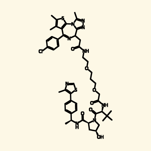 Cc1ncsc1-c1ccc([C@H](C)NC(=O)[C@@H]2C[C@H](O)CN2C(=O)[C@@H](NC(=O)COCCCOCCNC(=O)CC2N=C(c3ccc(Cl)cc3)c3c(sc(C)c3C)-n3c(C)nnc32)C(C)(C)C)cc1